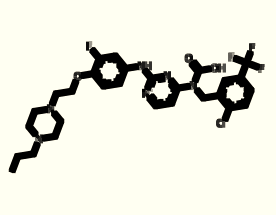 CCCN1CCN(CCOc2ccc(Nc3nccc(N(Cc4cc(C(F)(F)F)ccc4Cl)C(=O)O)n3)cc2F)CC1